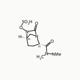 CNN(C)C(=O)[C@@H]1CC[C@@H]2CN1C(=O)N2OS(=O)(=O)O